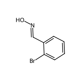 ON=Cc1ccccc1Br